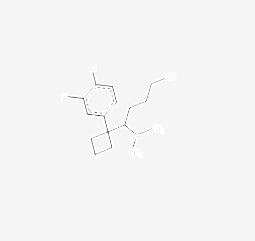 CN(C)C(CCCS)C1(c2ccc(Cl)c(Cl)c2)CCC1